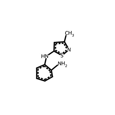 Cc1cc(Nc2ccccc2N)sn1